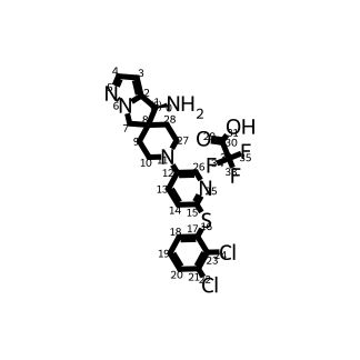 N[C@@H]1c2ccnn2CC12CCN(c1ccc(Sc3cccc(Cl)c3Cl)nc1)CC2.O=C(O)C(F)(F)F